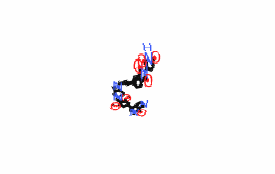 COc1cc(-c2cn(C)c(=O)c3cnccc23)cc(OC)c1CN1CCC2C(C1)CN2CC#Cc1ccc2c(c1)C(=O)N(C1CCC(=O)NC1=O)C2=O